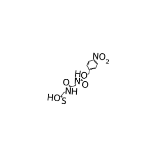 O=C(CNC(=O)OCc1ccc([N+](=O)[O-])cc1)NCC(O)=S